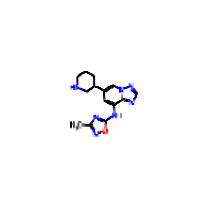 Cc1noc(Nc2cc(C3CCCNC3)cn3ncnc23)n1